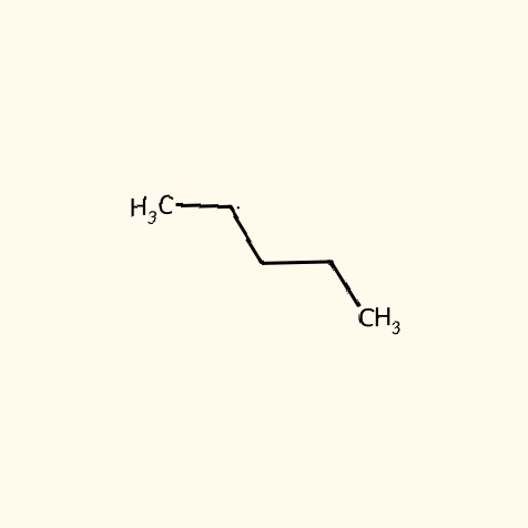 C[CH]CCC